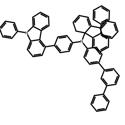 C1=CCC(c2ccccc2-c2ccccc2)(N(c2ccc(-c3cccc(-c4ccccc4)c3)cc2)c2ccc(-c3cccc4c3c3ccccc3n4-c3ccccc3)cc2)C(c2ccccc2)=C1